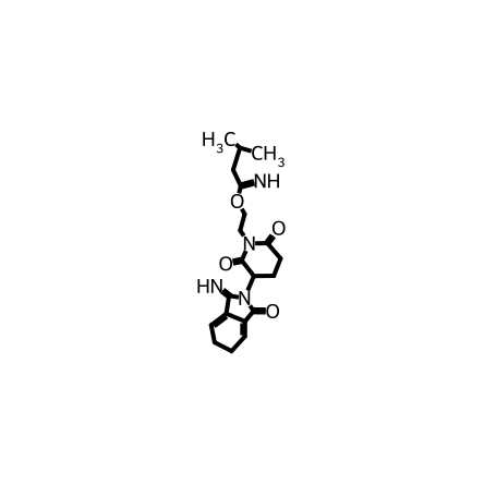 CC(C)CC(=N)OCCN1C(=O)CCC(N2C(=N)C3=CCCC=C3C2=O)C1=O